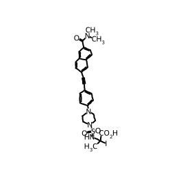 CN(C)C(=O)c1ccc2cc(C#Cc3ccc(N4CCN(S(=O)(=O)NC(C)(I)C(=O)O)CC4)cc3)ccc2c1